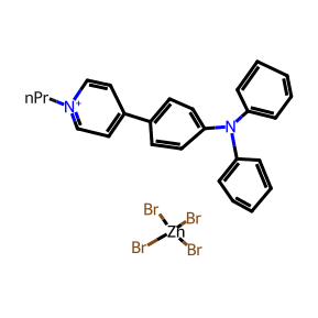 CCC[n+]1ccc(-c2ccc(N(c3ccccc3)c3ccccc3)cc2)cc1.[Br][Zn]([Br])([Br])[Br]